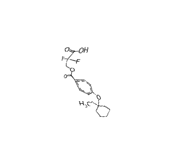 CCC1(Oc2ccc(C(=O)OCC(F)(F)C(=O)O)cc2)CCCCC1